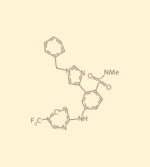 CNS(=O)(=O)c1ccc(Nc2ccc(C(F)(F)F)cn2)cc1-c1cn(Cc2ccccc2)cn1